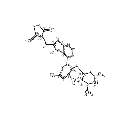 Cc1cc(Cl)cc(-c2ccnc3cc(CN4C(=O)CCC4=O)sc23)c1CN1C[C@H](C)N[C@@H](C)C1